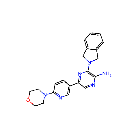 Nc1ncc(-c2ccc(N3CCOCC3)nc2)nc1N1Cc2ccccc2C1